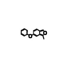 Cc1occ2ccc(Oc3ccccc3)cc12